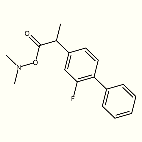 CC(C(=O)ON(C)C)c1ccc(-c2ccccc2)c(F)c1